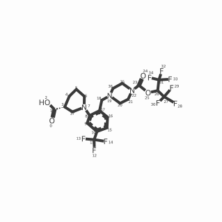 O=C(O)[C@@H]1CCCN(c2cc(C(F)(F)F)ccc2CN2CCN(C(=O)OC(C(F)(F)F)C(F)(F)F)CC2)C1